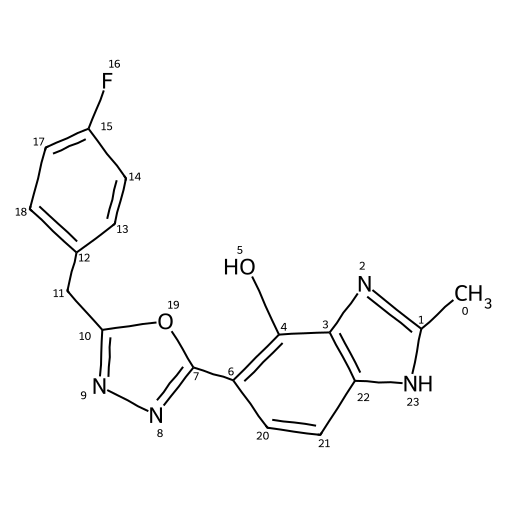 Cc1nc2c(O)c(-c3nnc(Cc4ccc(F)cc4)o3)ccc2[nH]1